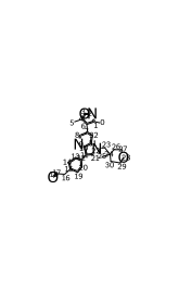 Cc1noc(C)c1-c1cnc2c(-c3ccc(CC=O)cc3)cn(CC3(C)CCOCC3)c2c1